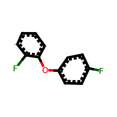 Fc1ccc(Oc2ccc[c]c2F)cc1